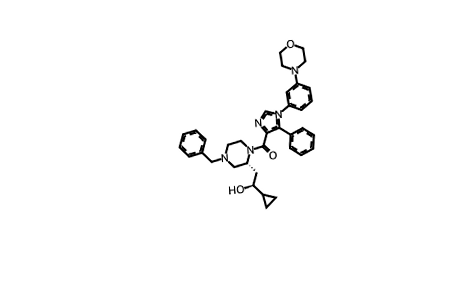 O=C(c1ncn(-c2cccc(N3CCOCC3)c2)c1-c1ccccc1)N1CCN(Cc2ccccc2)C[C@H]1C[C@H](O)C1CC1